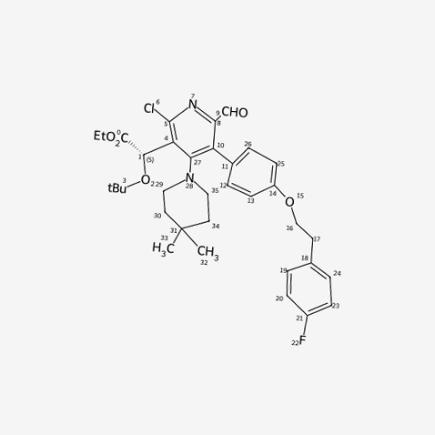 CCOC(=O)[C@@H](OC(C)(C)C)c1c(Cl)nc(C=O)c(-c2ccc(OCCc3ccc(F)cc3)cc2)c1N1CCC(C)(C)CC1